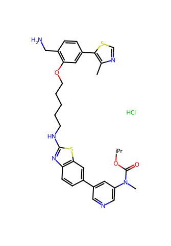 Cc1ncsc1-c1ccc(CN)c(OCCCCCNc2nc3ccc(-c4cncc(N(C)C(=O)OC(C)C)c4)cc3s2)c1.Cl